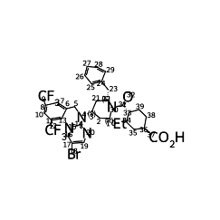 CC[C@@H]1C[C@H](N(Cc2cc(C(F)(F)F)cc(C(F)(F)F)c2)c2ncc(Br)cn2)C[C@H](Cc2ccccc2)N1C(=O)[C@H]1CC[C@H](C(=O)O)CC1